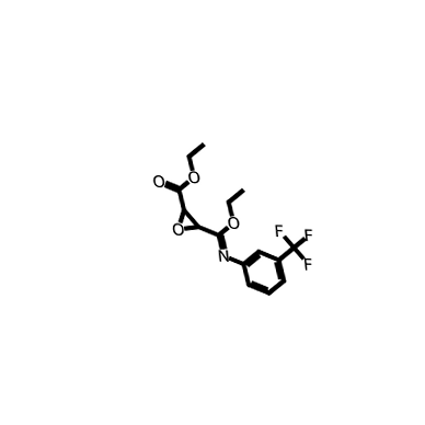 CCOC(=O)C1OC1C(=Nc1cccc(C(F)(F)F)c1)OCC